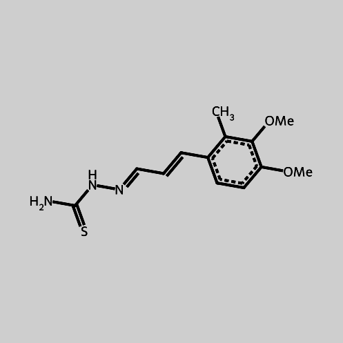 COc1ccc(/C=C/C=N/NC(N)=S)c(C)c1OC